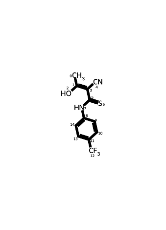 CC(O)=C(C#N)C(=S)Nc1ccc(C(F)(F)F)cc1